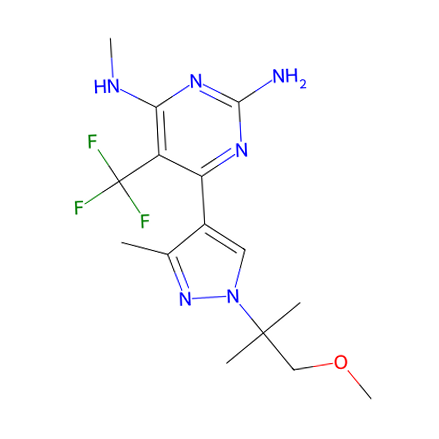 CNc1nc(N)nc(-c2cn(C(C)(C)COC)nc2C)c1C(F)(F)F